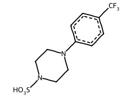 O=S(=O)(O)N1CCN(c2ccc(C(F)(F)F)cc2)CC1